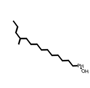 CCCC(C)CCCCCCCCCCPO